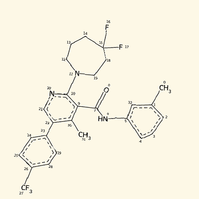 Cc1cccc(NC(=O)c2c(N3CCCC(F)(F)CC3)ncc(-c3ccc(C(F)(F)F)cc3)c2C)c1